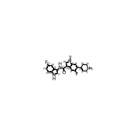 CN1CC=C(c2cc3c(cc2F)c(C(=O)Nc2c[nH]c4ccc(F)cc24)cn3C)CC1